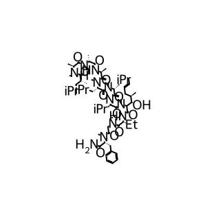 C/C=C/C[C@@H](C)[C@H](O)C(C(=O)N[C@H](CC)C(=O)N(C)CC(=O)N(C)[C@H](Cc1ccccc1)C(N)=O)N(C)C(=O)[C@@H](C(C)C)N(C)C(=O)[C@@H](CC(C)C)N(C)C(=O)[C@H](CC(C)C)N(C)C(=O)[C@H](C)NC(=O)[C@@H](C)NC(=O)[C@H](C)N(C)C(=O)[C@H](C)CC(C)C